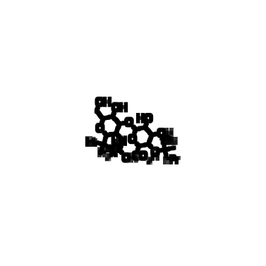 CCCC(C)(CC)C1OC(CO)C(O)C(OC2OC(C(=O)O)C(OC(C)(CCC)C(C)(C)C)C(O)C2O)C1NC(N)O